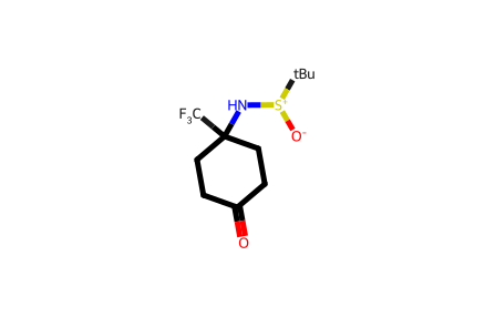 CC(C)(C)[S+]([O-])NC1(C(F)(F)F)CCC(=O)CC1